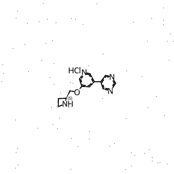 Cl.c1ncc(-c2cncc(OC[C@@H]3CCN3)c2)cn1